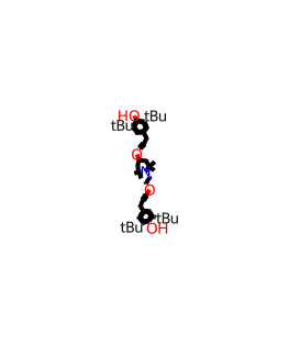 CC(C)(C)c1cc(CC#COCCN2C(C)(C)CC(OC#CCc3cc(C(C)(C)C)c(O)c(C(C)(C)C)c3)CC2(C)C)cc(C(C)(C)C)c1O